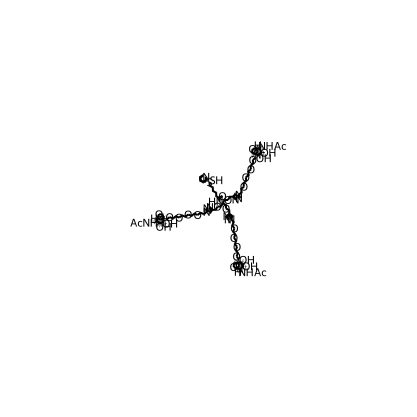 CC(=O)N[C@H]1[C@H]2OC[C@@](COCCOCCOCCOCCn3cc(COCC(COCc4cn(CCOCCOCCOCCOC[C@]56CO[C@@H](O5)[C@H](NC(C)=O)[C@@H](O)[C@H]6O)nn4)(COCc4cn(CCOCCOCCOCCOC[C@]56CO[C@@H](O5)[C@H](NC(C)=O)[C@@H](O)[C@H]6O)nn4)NC(=O)CCCCC[S](S)c4ccccn4)nn3)(O2)[C@H](O)[C@@H]1O